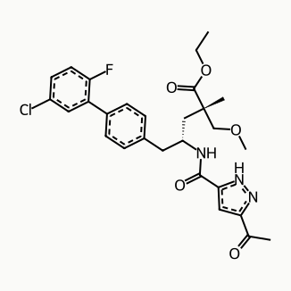 CCOC(=O)[C@](C)(COC)C[C@@H](Cc1ccc(-c2cc(Cl)ccc2F)cc1)NC(=O)c1cc(C(C)=O)n[nH]1